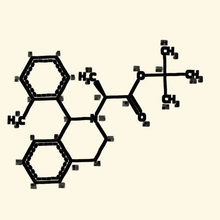 Cc1ccccc1C1c2ccccc2CCN1[C@@H](C)C(=O)OC(C)(C)C